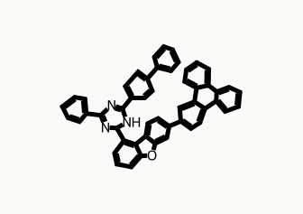 c1ccc(C2=NC(c3cccc4oc5cc(-c6ccc7c8ccccc8c8ccccc8c7c6)ccc5c34)NC(c3ccc(-c4ccccc4)cc3)=N2)cc1